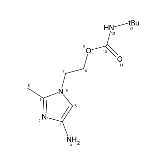 Cc1nc(N)cn1CCOC(=O)NC(C)(C)C